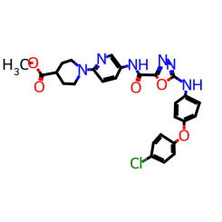 COC(=O)C1CCN(c2ccc(NC(=O)c3nnc(Nc4ccc(Oc5ccc(Cl)cc5)cc4)o3)cn2)CC1